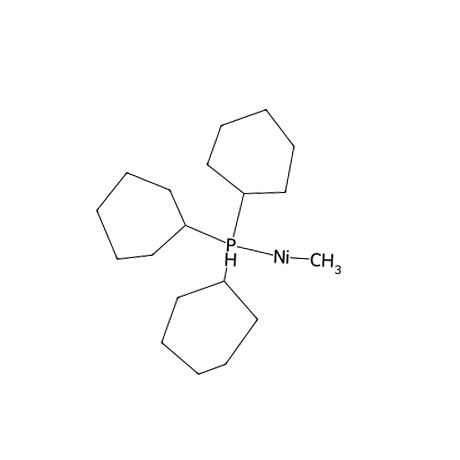 [CH3][Ni][PH](C1CCCCC1)(C1CCCCC1)C1CCCCC1